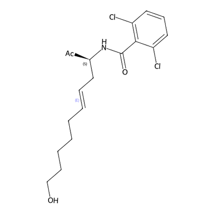 CC(=O)[C@H](C/C=C/CCCCCO)NC(=O)c1c(Cl)cccc1Cl